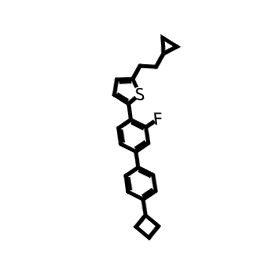 Fc1cc(-c2ccc(C3CCC3)cc2)ccc1-c1ccc(CCC2CC2)s1